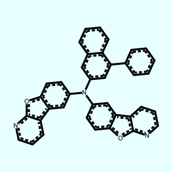 c1ccc(-c2cc(N(c3ccc4oc5ncccc5c4c3)c3ccc4oc5ncccc5c4c3)cc3ccccc23)cc1